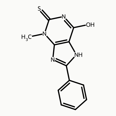 Cn1c(=S)nc(O)c2[nH]c(-c3ccccc3)nc21